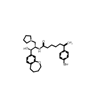 C=C(CCCCC(=O)N[C@H](CN1CCCC1)[C@H](O)c1ccc2c(c1)OCCCC2)c1ccc(C(C)(C)C)cc1